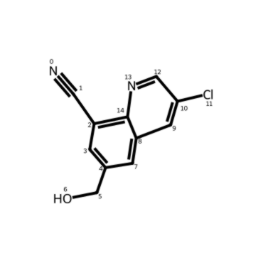 N#Cc1cc(CO)cc2cc(Cl)cnc12